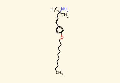 [CH2]C(C)(N)CC=Cc1ccc(OCCCCCCCCCC)cc1